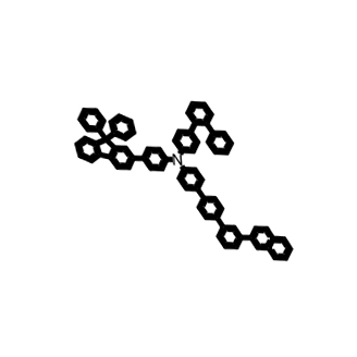 c1ccc(-c2ccccc2-c2ccc(N(c3ccc(-c4ccc(-c5cccc(-c6ccc7ccccc7c6)c5)cc4)cc3)c3ccc(-c4ccc5c(c4)C(c4ccccc4)(c4ccccc4)c4ccccc4-5)cc3)cc2)cc1